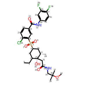 CCC1C[C@@H](S(=O)(=O)c2cc(C(=O)Nc3ccc(F)c(F)c3)ccc2Cl)C[C@H](C)[C@@]1(O)CC(=O)NCC(C)(C)OC